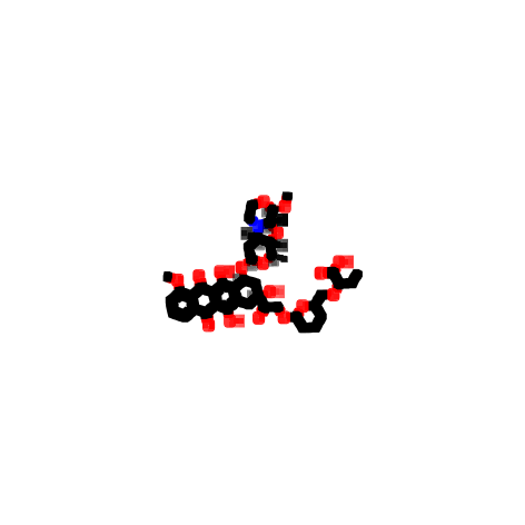 CCC(OCC1CCCC(OCC(=O)[C@]2(O)Cc3c(O)c4c(c(O)c3[C@@H](O[C@H]3C[C@H]5[C@H](O[C@@H]6[C@@H](OC)OCCN65)[C@H](C)O3)C2)C(=O)c2c(OC)cccc2C4=O)O1)C(=O)O